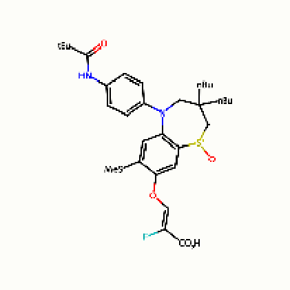 CCCCC1(CCCC)CN(c2ccc(NC(=O)C(C)(C)C)cc2)c2cc(SC)c(O/C=C(\F)C(=O)O)cc2[S+]([O-])C1